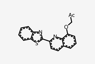 CC(=O)COc1cccc2ccc(-c3nc4ccccc4s3)nc12